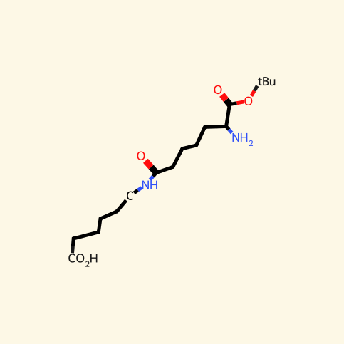 CC(C)(C)OC(=O)C(N)CCCCC(=O)NCCCCCC(=O)O